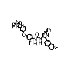 CC(C)n1cc(NC(=O)Nc2ccc(Oc3ccnc(NS(C)(=O)=O)c3)cc2F)c(-c2ccc3c(c2)CN(C)CC3)n1